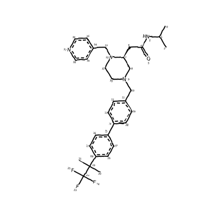 CC(C)NC(=O)C[C@H]1CN(Cc2ccc(-c3ccc(C(C)(C)C(F)(F)F)cc3)cc2)CCN1Cc1ccncc1